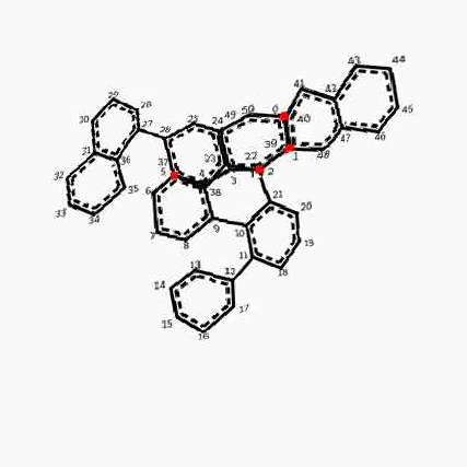 c1ccc(-c2ccccc2-c2c(-c3ccccc3)cccc2N(c2ccc(-c3cccc4ccccc34)cc2)c2ccc3ccccc3c2)cc1